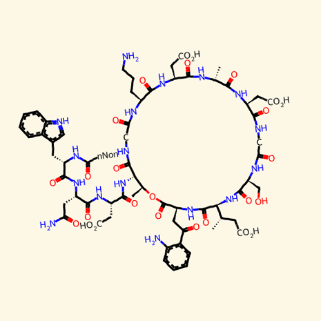 CCCCCCCCCC(=O)N[C@@H](Cc1c[nH]c2ccccc12)C(=O)N[C@@H](CC(N)=O)C(=O)N[C@@H](CC(=O)O)C(=O)N[C@@H]1C(=O)NCC(=O)N[C@@H](CCCN)C(=O)N[C@@H](CC(=O)O)C(=O)N[C@H](C)C(=O)N[C@@H](CC(=O)O)C(=O)NCC(=O)N[C@@H](CO)C(=O)N[C@@H]([C@@H](C)CC(=O)O)C(=O)N[C@@H](CC(=O)c2ccccc2N)C(=O)O[C@H]1C